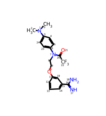 CN(C)c1ccc(N(CCOc2cccc(C(=N)N)c2)C(=O)C(F)(F)F)cc1